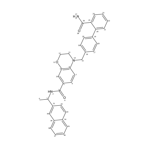 CC(NC(=O)c1ccc2c(c1)OCCN2Cc1ccc(-c2ccccc2C(N)=O)cc1)c1ccc2ccccc2c1